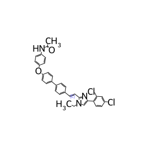 CCn1cc(-c2ccc(Cl)cc2Cl)nc1/C=C/c1ccc(-c2ccc(Oc3ccc(NC(C)=O)cc3)cc2)cc1